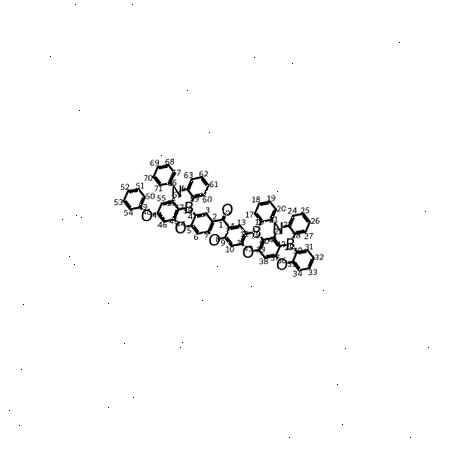 O=c1c2cc3c(cc2oc2cc4c(cc12)B1c2ccccc2N2c5ccccc5B5c6ccccc6Oc6cc(c1c2c65)O4)Oc1cc(Oc2ccccc2)cc2c1B3c1ccccc1N2c1ccccc1